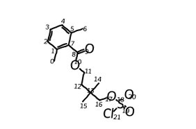 Cc1cccc(C)c1C(=O)OCCC(C)(C)COS(=O)(=O)Cl